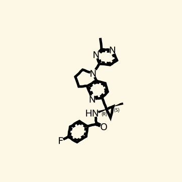 Cc1nccc(N2CCCc3nc([C@@]4(NC(=O)c5ccc(F)cc5)C[C@@H]4C)ccc32)n1